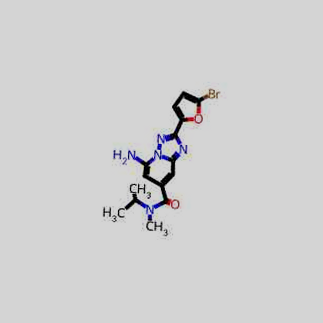 CC(C)N(C)C(=O)c1cc(N)n2nc(-c3ccc(Br)o3)nc2c1